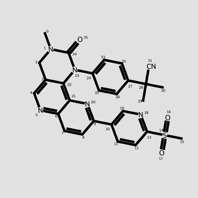 CN1Cc2cnc3ccc(-c4ccc(S(C)(=O)=O)nc4)nc3c2N(c2ccc(C(C)(C)C#N)cc2)C1=O